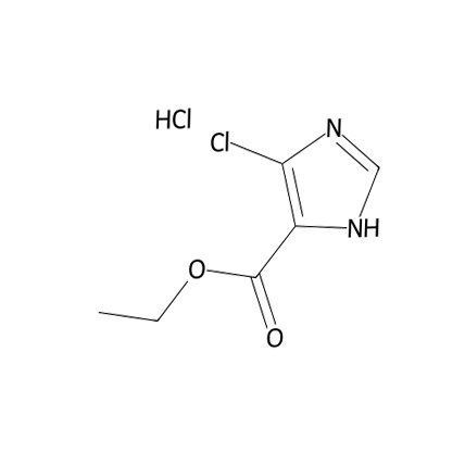 CCOC(=O)c1[nH]cnc1Cl.Cl